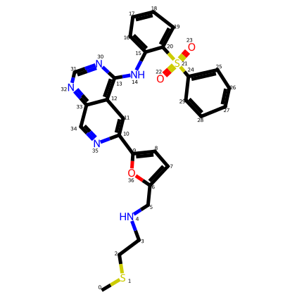 CSCCNCc1ccc(-c2cc3c(Nc4ccccc4S(=O)(=O)c4ccccc4)ncnc3cn2)o1